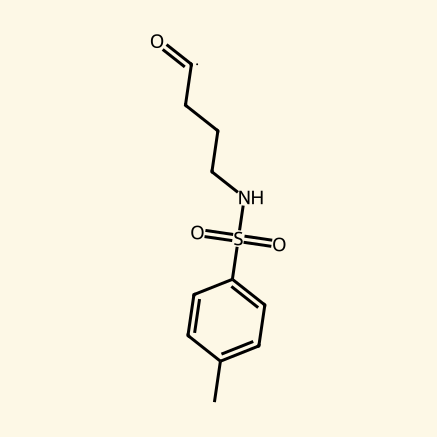 Cc1ccc(S(=O)(=O)NCCC[C]=O)cc1